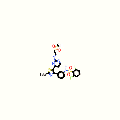 CC(C)(C)c1nc(-c2cccc(NS(=O)(=O)c3c(F)cccc3F)c2)c(-c2ccnc(NCCS(C)(=O)=O)n2)s1